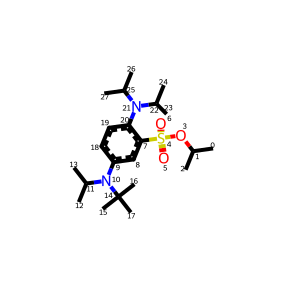 CC(C)OS(=O)(=O)c1cc(N(C(C)C)C(C)(C)C)ccc1N(C(C)C)C(C)C